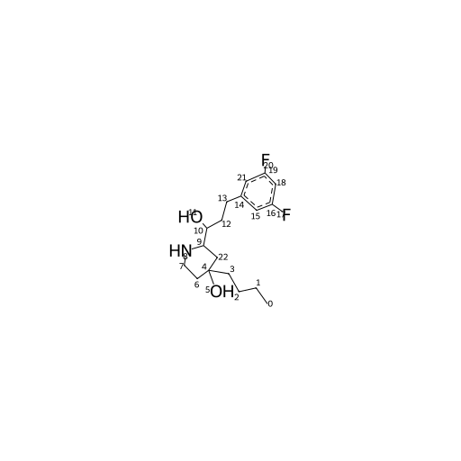 CCCCC1(O)CCNC(C(O)CCc2cc(F)cc(F)c2)C1